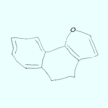 c1ccc2c(c1)CCc1ccoc1-2